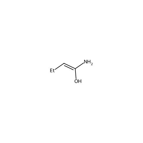 CC/C=C(/N)O